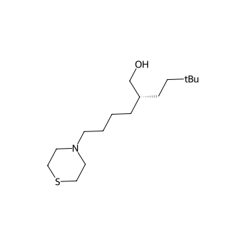 CC(C)(C)CC[C@@H](CO)CCCCN1CCSCC1